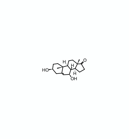 C[C@]12CC[C@H](O)CC1=C[C@H](O)[C@@H]1[C@@H]2CC[C@]2(C)C(=O)CC[C@@H]12